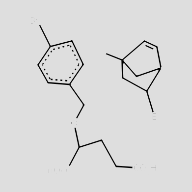 CCC1CC2(C)C=CC1C2.CCCCCCCCC(CCC(=O)O)OCc1ccc(Br)cc1